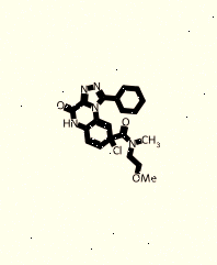 COCCN(C)C(=O)C1(Cl)C=CC2NC(=O)c3nnc(C4CCCCC4)n3C2=C1